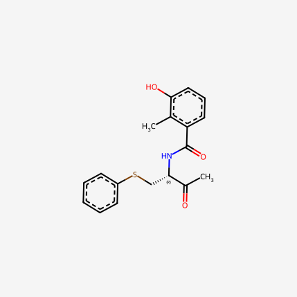 CC(=O)[C@H](CSc1ccccc1)NC(=O)c1cccc(O)c1C